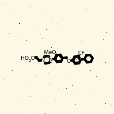 COc1cc(COc2ccc(C3CCCCC3)c(C(F)(F)F)c2)ccc1N1CCN(CCC(=O)O)CC1